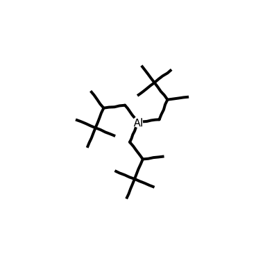 CC([CH2][Al]([CH2]C(C)C(C)(C)C)[CH2]C(C)C(C)(C)C)C(C)(C)C